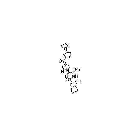 CC(C)(C)[C@H](NC(=O)c1cc2ccccc2[nH]1)C(=O)N1CC2C[C@H]1CN2C(=O)c1cccc(N2CCCC2)n1